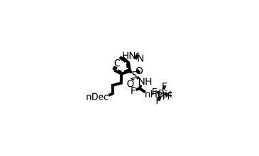 CCCCCCCCCCCCCc1ccccc1S(=O)(=O)NC(F)CCCCCCC.F[B-](F)(F)F.N#[NH+]